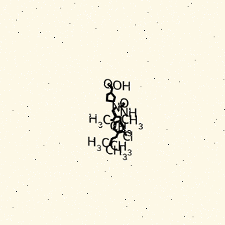 CC(C)C1=CN(C2CCC(C(=O)O)C2)C(=O)N[C@]1(C)c1ccc(CCC(C)(C)C)c(Cl)c1